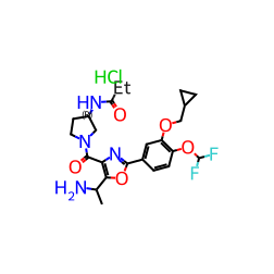 CCC(=O)N[C@@H]1CCN(C(=O)c2nc(-c3ccc(OC(F)F)c(OCC4CC4)c3)oc2C(C)N)C1.Cl